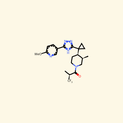 COc1ccc(-c2nnc(C3([C@@H]4CCN(C(=O)[C@H](C)C(F)(F)F)C[C@@H]4C)CC3)[nH]2)cn1